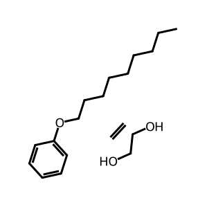 C=C.CCCCCCCCCOc1ccccc1.OCCO